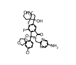 CC[C@@](O)(c1cc(F)c2c(c1)C(=O)N(Cc1ncc(N)cn1)[C@@]2(O[C@H]1CCOC1)c1ccc(Cl)cc1)C1(F)CCOCC1